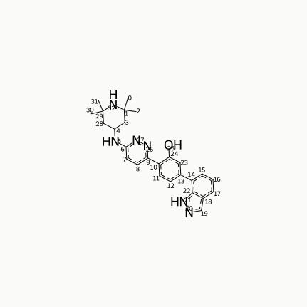 CC1(C)CC(Nc2ccc(-c3ccc(-c4cccc5cn[nH]c45)cc3O)nn2)CC(C)(C)N1